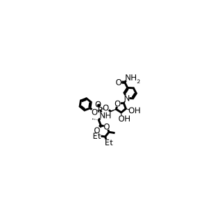 CCC(CC)C(C)OC(=O)[C@H](C)NP(=O)(OC[C@H]1O[C@@H](N2C=CCC(C(N)=O)=C2)[C@H](O)[C@@H]1O)Oc1ccccc1